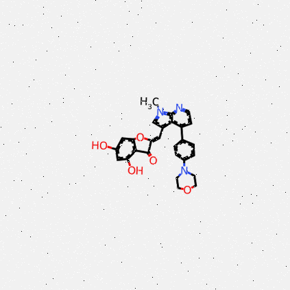 Cn1cc(C=C2Oc3cc(O)cc(O)c3C2=O)c2c(-c3ccc(N4CCOCC4)cc3)ccnc21